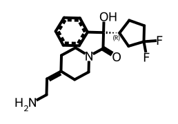 NCC=C1CCN(C(=O)C(O)(c2ccccc2)[C@@H]2CCC(F)(F)C2)CC1